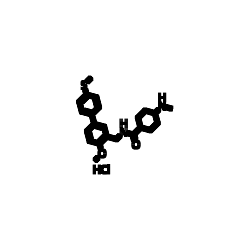 CNC1CCC(C(=O)NCc2cc(-c3ccc(SC)cc3)ccc2OC)CC1.Cl